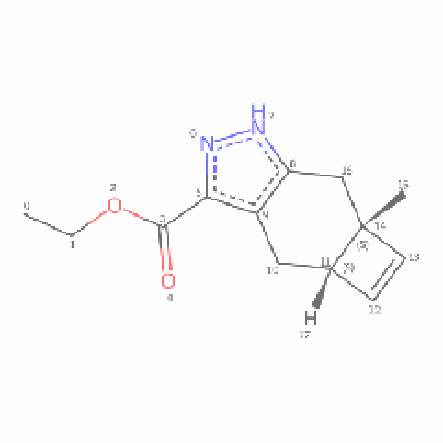 CCOC(=O)c1n[nH]c2c1C[C@H]1C=C[C@@]1(C)C2